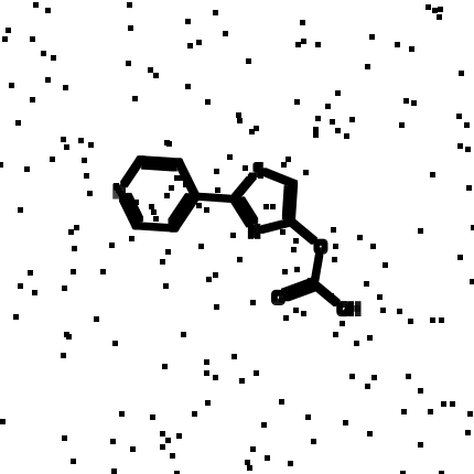 O=C(O)Oc1csc(-c2ccncc2)n1